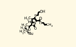 C=CCOC(=O)C1=C(SCCO)[C@@H](C)[C@H]2[C@H]([C@@H](C)O[Si](C)(C)C(C)(C)C)C(=O)N12